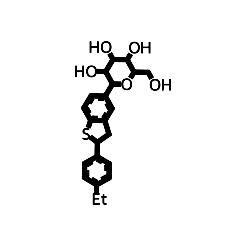 CCc1ccc(C2Cc3cc(C4OC(CO)C(O)C(O)C4O)ccc3S2)cc1